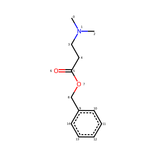 CN(C)CCC(=O)OCc1ccccc1